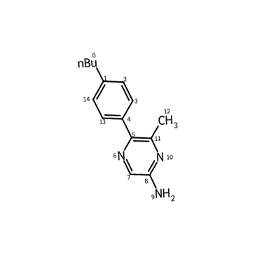 CCCCc1ccc(-c2ncc(N)nc2C)cc1